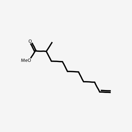 C=CCCCCCCC(C)C(=O)OC